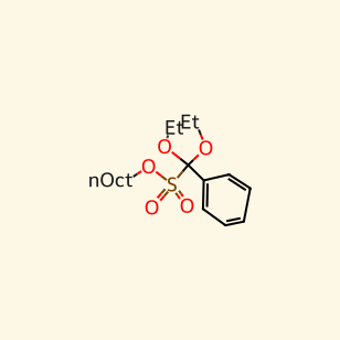 CCCCCCCCOS(=O)(=O)C(OCC)(OCC)c1ccccc1